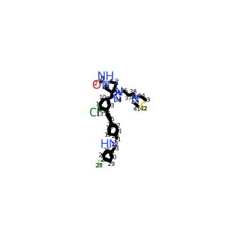 NC(=O)N1CCc2c(c(-c3ccc(Cl)c(C#Cc4ccc(CNCc5ccc(F)cc5)cc4)c3)nn2CCCN2CCSCC2)C1